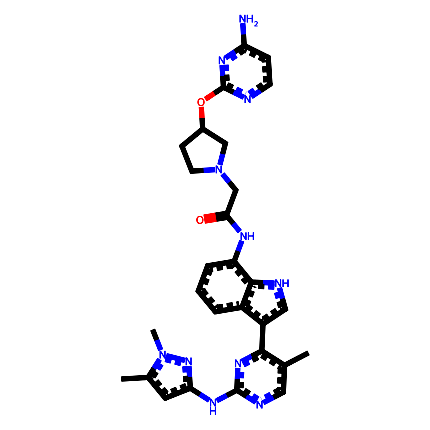 Cc1cnc(Nc2cc(C)n(C)n2)nc1-c1c[nH]c2c(NC(=O)CN3CCC(Oc4nccc(N)n4)C3)cccc12